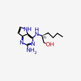 CCCC[C@@H](CO)Nc1nc(N)nc2cc[nH]c12